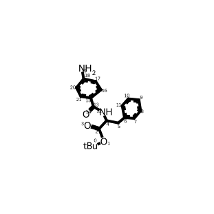 CC(C)(C)OC(=O)C(Cc1ccccc1)NC(=O)c1ccc(N)cc1